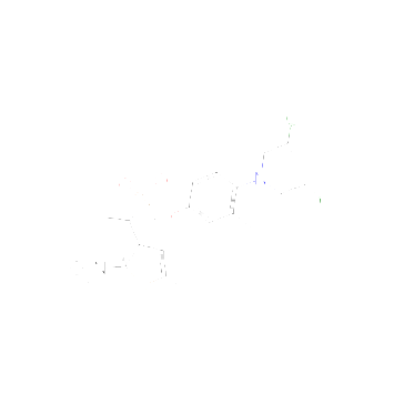 Cc1cc(OS(=O)(=O)C(C)C2C=CSC2[N+](=O)[O-])ccc1N(CCCl)CCCl